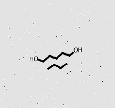 CCCC.OCCCCCO